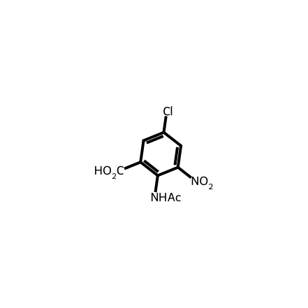 CC(=O)Nc1c(C(=O)O)cc(Cl)cc1[N+](=O)[O-]